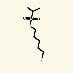 CC(C)S(=O)(=O)OCCCCC[O]